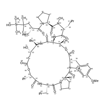 CC[C@H](C)[C@H]1NC(=O)[C@@H](NC(=O)[C@@H](CC(C)C)N(C)C(=O)[C@@H]2CCCN2C(=O)[C@H](C)CC(C)(C)[Si](C)(C)O)[C@@H](C)OC(=O)[C@H](Cc2ccc(OC)cc2)N(C)C(=O)[C@@H]2CCCN2C(=O)[C@H](CC(C)C)NC(=O)[C@H](C(C)C)OC(=O)C[C@@H]1O